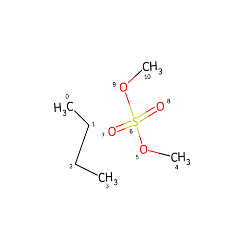 CCCC.COS(=O)(=O)OC